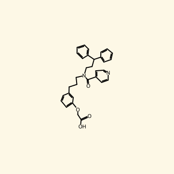 O=C(O)COc1cccc(CCCN(CCC(c2ccccc2)c2ccccc2)C(=O)c2ccncc2)c1